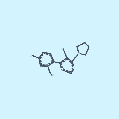 Oc1cc(Cl)ccc1-c1ncnc(N2CCCC2)c1Cl